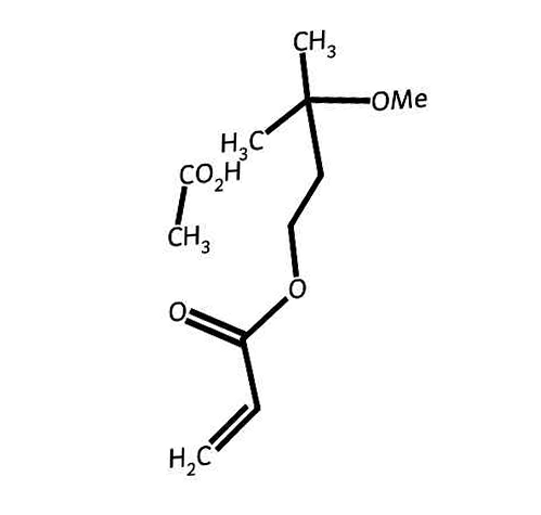 C=CC(=O)OCCC(C)(C)OC.CC(=O)O